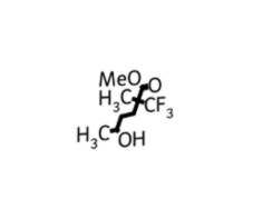 COC(=O)C(C)(CCC(C)O)C(F)(F)F